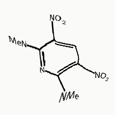 CNc1nc(NC)c([N+](=O)[O-])cc1[N+](=O)[O-]